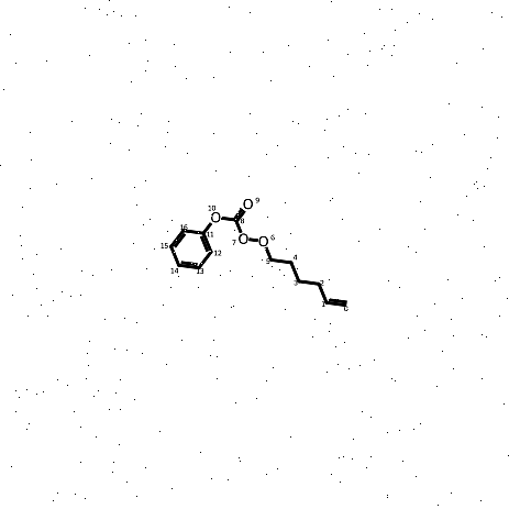 C=CCCCCOOC(=O)Oc1ccccc1